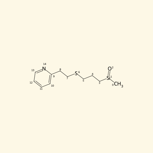 C[Si](=O)CCCSCCc1ccccn1